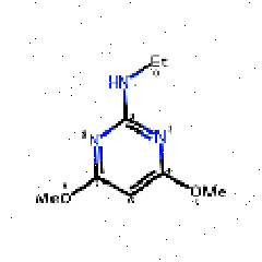 CCNc1nc(OC)cc(OC)n1